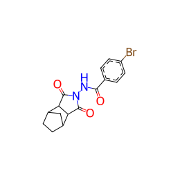 O=C(NN1C(=O)C2C3CCC(C3)C2C1=O)c1ccc(Br)cc1